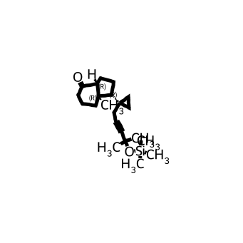 CC(C)(C#CCC1([C@H]2CC[C@H]3C(=O)CCC[C@]23C)CC1)O[Si](C)(C)C